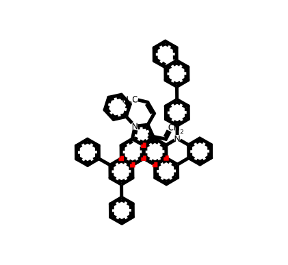 C=Cc1c(/C=C\C)n(-c2ccccc2)c2cccc(-c3cccc(-c4ccccc4N(c4ccc(-c5cc(-c6ccccc6)cc(-c6ccccc6)c5)cc4)c4ccc(-c5ccc6ccccc6c5)cc4)c3)c12